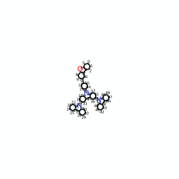 c1ccc2c(c1)oc1ccc(-c3ccc(-n4c5ccc(-n6c7ccccc7c7ccccc76)cc5c5cc(-n6c7ccccc7c7ccccc76)ccc54)cc3)cc12